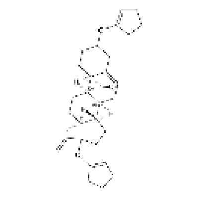 C=CC1(OC2=CCCC2)CC[C@H]2[C@@H]3CC=C4CC(OC5=CCCC5)CC[C@]4(CO)[C@@H]3CC[C@@]21C